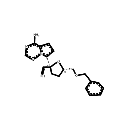 N=C[C@]1(c2ccc3c(N)ncnn23)CC[C@@H](COCc2ccccc2)O1